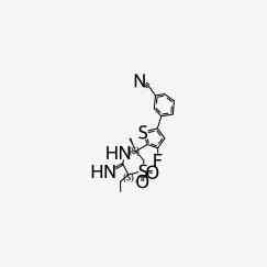 CC[C@@]1(C)C(=N)N[C@](C)(c2sc(-c3cccc(C#N)c3)cc2F)CS1(=O)=O